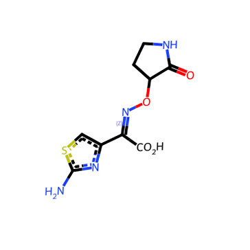 Nc1nc(/C(=N/OC2CCNC2=O)C(=O)O)cs1